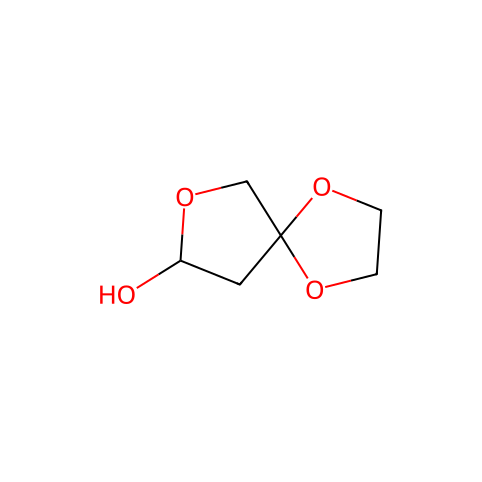 OC1CC2(CO1)OCCO2